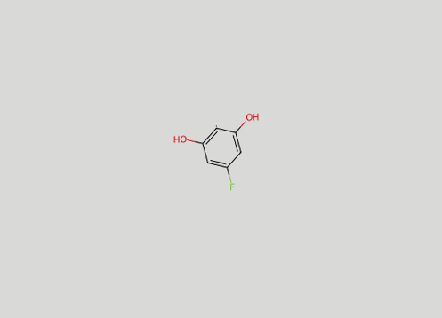 Oc1[c]c(O)cc(F)c1